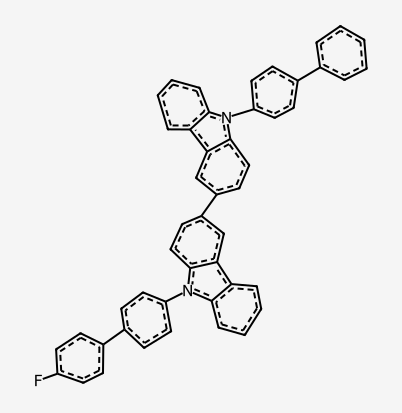 Fc1ccc(-c2ccc(-n3c4ccccc4c4cc(-c5ccc6c(c5)c5ccccc5n6-c5ccc(-c6ccccc6)cc5)ccc43)cc2)cc1